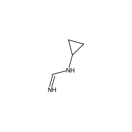 N=[C]NC1CC1